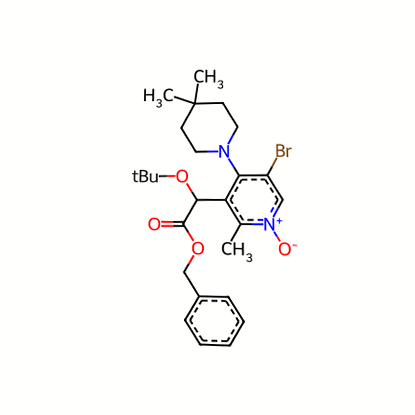 Cc1c(C(OC(C)(C)C)C(=O)OCc2ccccc2)c(N2CCC(C)(C)CC2)c(Br)c[n+]1[O-]